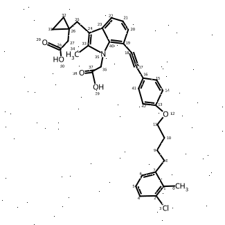 Cc1c(Cl)cccc1CCCCOc1ccc(C#Cc2cccc3c(CC4(CC(=O)O)CC4)c(C)n(CC(=O)O)c23)cc1